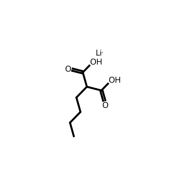 CCCCC(C(=O)O)C(=O)O.[Li]